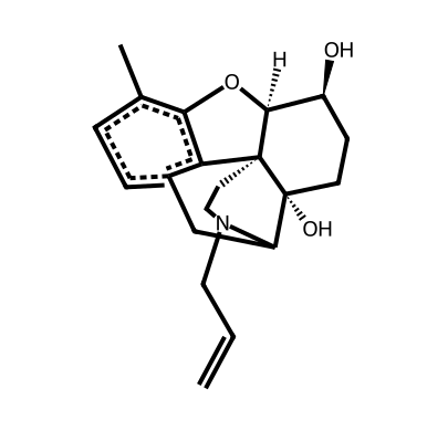 C=CCN1CC[C@]23c4c5ccc(C)c4O[C@H]2[C@@H](O)CC[C@@]3(O)C1C5